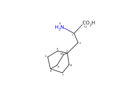 NC(CC12CCC(CC1)CC2)C(=O)O